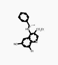 CCOC(=O)c1cnc2c(CC)cc(C#N)cc2c1N[C@@H](C)c1ccccc1